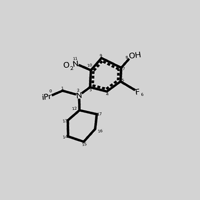 CC(C)CN(c1cc(F)c(O)cc1[N+](=O)[O-])C1CCCCC1